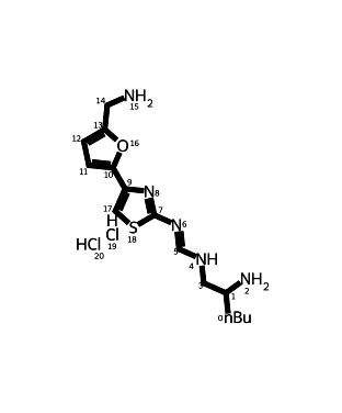 CCCCC(N)CNC=Nc1nc(-c2ccc(CN)o2)cs1.Cl.Cl